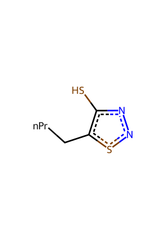 CCCCc1snnc1S